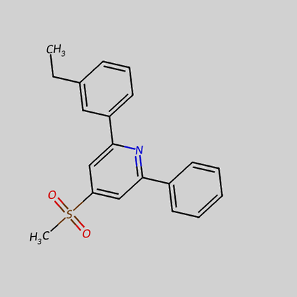 CCc1cccc(-c2cc(S(C)(=O)=O)cc(-c3ccccc3)n2)c1